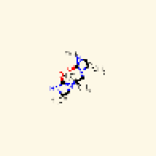 C[C@@H]1CN(C(C)(C)CN2C(=O)N(C(C)(C)C)C[C@@H]2C)C(=O)N1